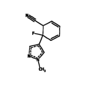 Cn1cc(C2(F)C=CC=CC2C#N)cn1